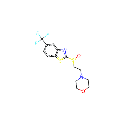 [O-][S+](CCN1CCOCC1)c1nc2cc(C(F)(F)F)ccc2s1